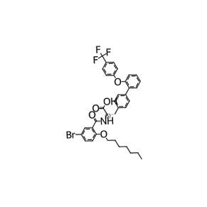 CCCCCCCOc1ccc(Br)cc1C(=O)N[C@@H](Cc1ccc(-c2ccccc2Oc2ccc(C(F)(F)F)cc2)cc1)C(=O)O